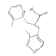 Cc1ccccc1CC(Cc1ccccc1C)C(=O)O